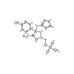 CN1OC(COS(C)(=O)=O)CC1(Cn1ccnc1)c1ccc(Cl)cc1